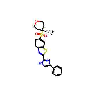 O=C(O)C1(S(=O)(=O)c2ccc3nc(-c4nc(-c5ccccc5)c[nH]4)sc3c2)CCOCC1